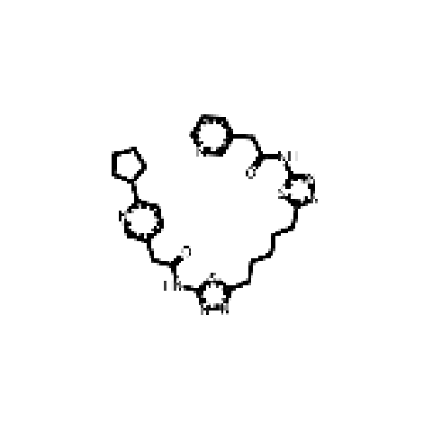 O=C(Cc1cccnc1)Nc1nnc(CCCCCc2nnc(NC(=O)Cc3ccc(C4CCCC4)nc3)s2)s1